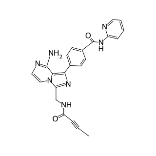 CC#CC(=O)NCc1nc(-c2ccc(C(=O)Nc3ccccn3)cc2)c2c(N)nccn12